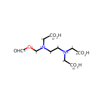 O=COCN(CCN(CC(=O)O)CC(=O)O)CC(=O)O